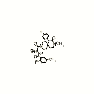 CC(C)[C@@H](NC(=O)c1cc(C(F)(F)F)ccc1F)C(=O)N1CCC2(CCN(C)C(=O)C2c2ccc(F)cc2)CC1